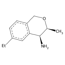 CCc1ccc2c(c1)[C@H](N)[C@H](C)OC2